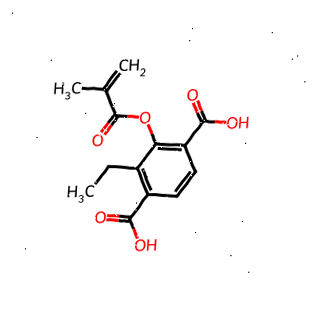 C=C(C)C(=O)Oc1c(C(=O)O)ccc(C(=O)O)c1CC